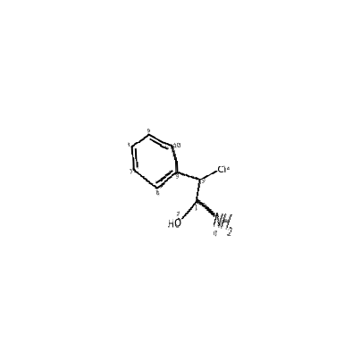 NC(O)C(Cl)c1ccccc1